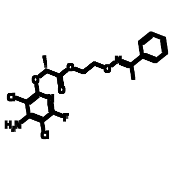 C/C(=N\OCCOC(=O)[C@@H](C)Oc1nc(F)c(Cl)c(N)c1Cl)c1ccccc1